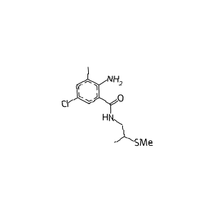 CSC(C)CNC(=O)c1cc(Cl)cc(C)c1N